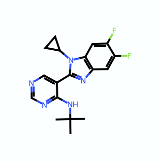 CC(C)(C)Nc1ncncc1-c1nc2cc(F)c(F)cc2n1C1CC1